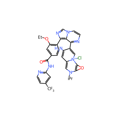 CCOc1cc(C(=O)Nc2cc(C(F)(F)F)ccn2)ccc1-c1ncn2ccnc(C3=C[N+]4(Cl)C(=CN(C(C)C)C5=C4O5)C=C3N)c12